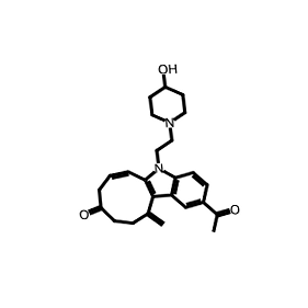 C=C1CCC(=O)C/C=C\c2c1c1cc(C(C)=O)ccc1n2CCN1CCC(O)CC1